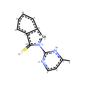 Cc1ccnc(-n2[se]c3ccccc3c2=S)n1